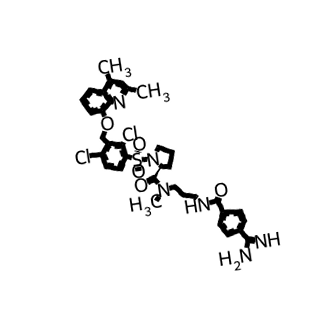 Cc1cc(C)c2cccc(OCc3c(Cl)ccc(S(=O)(=O)N4CCC[C@H]4C(=O)N(C)CCCNC(=O)c4ccc(C(=N)N)cc4)c3Cl)c2n1